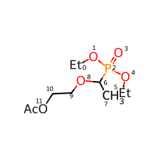 CCOP(=O)(OCC)C(C)OCCOC(C)=O